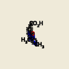 CN1CCc2nc(N3CCN([C@H]4CC[C@H](CCC(=O)O)CC4)C3=O)n(C)c2CC1